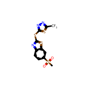 CS(=O)(=O)c1ccc2nc(Sc3nnc(C(F)(F)F)s3)sc2c1